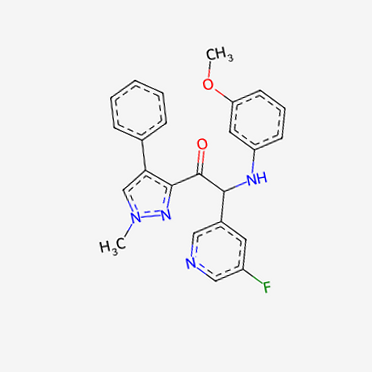 COc1cccc(NC(C(=O)c2nn(C)cc2-c2ccccc2)c2cncc(F)c2)c1